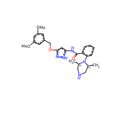 COc1cc(COc2cc(NC(=O)c3ccccc3N3[C@H](C)CNC[C@@H]3C)[nH]n2)cc(OC)c1